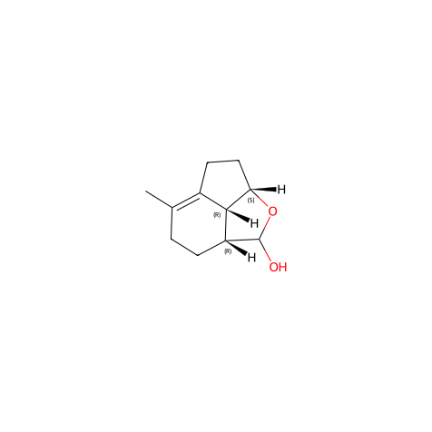 CC1=C2CC[C@@H]3OC(O)[C@H](CC1)[C@H]23